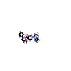 O=C1N2C(C3CCCCC3)CC[C@H]2OC12CCN(c1ccnc3c(F)cnn13)CC2